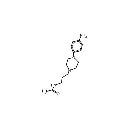 NC(=O)NCCCN1CCN(c2ccc(N)cc2)CC1